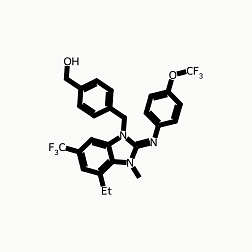 CCc1cc(C(F)(F)F)cc2c1n(C)/c(=N/c1ccc(OC(F)(F)F)cc1)n2Cc1ccc(CO)cc1